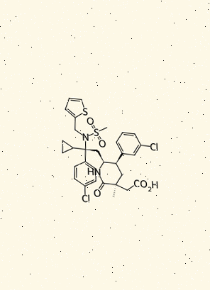 C[C@@]1(CC(=O)O)C[C@H](c2cccc(Cl)c2)[C@H](C[C@@](c2ccc(Cl)cc2)(C2CC2)N(Cc2cccs2)S(C)(=O)=O)NC1=O